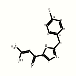 CC(O)=CC(=O)c1cnc(Cc2ccc(F)cc2)o1